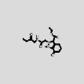 CCOC(=O)C1C2=C(NN1CC(=O)NCC(=O)CC)C(=O)CCC2